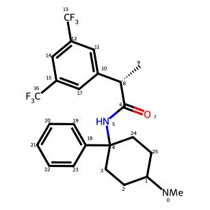 CNC1CCC(NC(=O)[C@@H](C)c2cc(C(F)(F)F)cc(C(F)(F)F)c2)(c2ccccc2)CC1